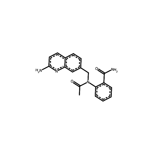 CC(=O)N(Cc1ccc2ccc(N)nc2c1)c1ccccc1C(N)=O